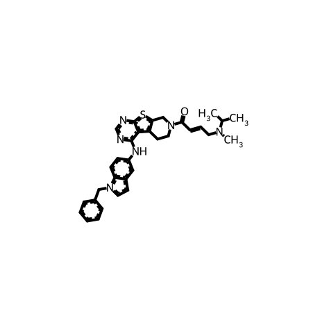 CC(C)N(C)CC=CC(=O)N1CCc2c(sc3ncnc(Nc4ccc5c(ccn5Cc5ccccc5)c4)c23)C1